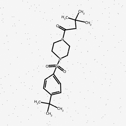 CC(C)(C)CC(=O)N1CCN(S(=O)(=O)c2ccc(C(C)(C)C)cc2)CC1